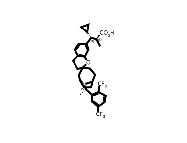 C[C@H](C(=O)O)[C@H](c1ccc2c(c1)OC1(CC2)CCC2CCC(C1)N2[C@@H](C)c1cc(C(F)(F)F)ccc1C(F)(F)F)C1CC1